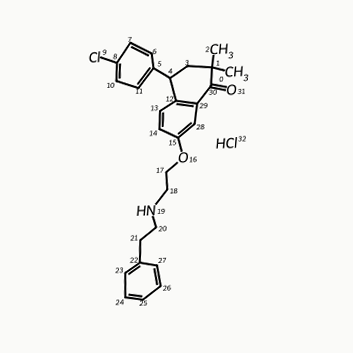 CC1(C)CC(c2ccc(Cl)cc2)c2ccc(OCCNCCc3ccccc3)cc2C1=O.Cl